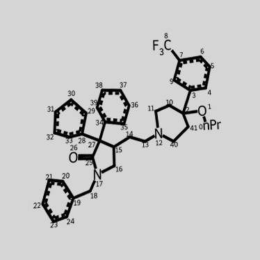 CCCOC1(c2cccc(C(F)(F)F)c2)CCN(CCC2CN(Cc3ccccc3)C(=O)C2(c2ccccc2)c2ccccc2)CC1